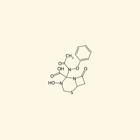 CC(=O)N(Oc1ccccc1)C1(C(=O)O)N(O)CSC2CC(=O)N21